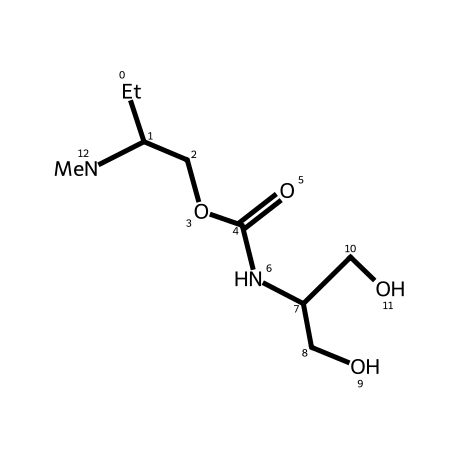 CCC(COC(=O)NC(CO)CO)NC